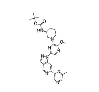 COc1ncc(-n2ncc3cnc(-c4cncc(C)n4)cc32)nc1N1CCC[C@H](NC(=O)OC(C)(C)C)C1